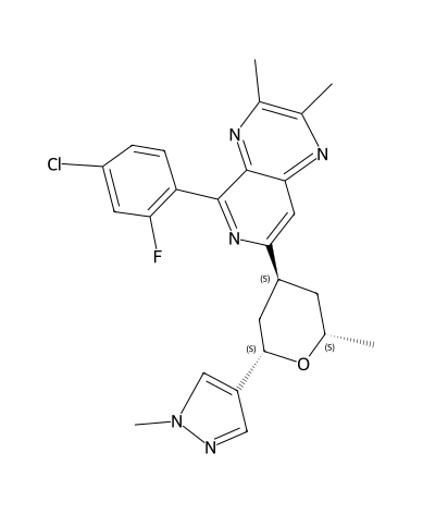 Cc1nc2cc([C@@H]3C[C@@H](c4cnn(C)c4)O[C@@H](C)C3)nc(-c3ccc(Cl)cc3F)c2nc1C